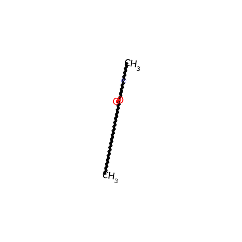 CCCCCCCC/C=C/CCCCCCCCOC(=O)CCCCCCCCCCCCCCCCCCCCCCCCCCCCCCCCCCC